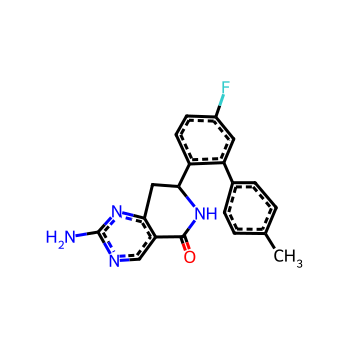 Cc1ccc(-c2cc(F)ccc2C2Cc3nc(N)ncc3C(=O)N2)cc1